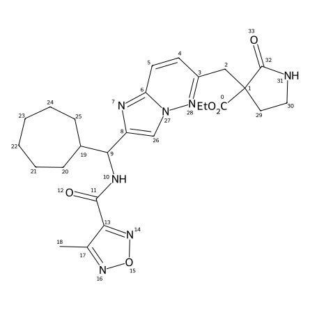 CCOC(=O)C1(Cc2ccc3nc(C(NC(=O)c4nonc4C)C4CCCCCC4)cn3n2)CCNC1=O